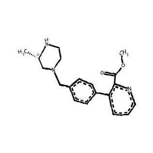 COC(=O)c1ncccc1-c1ccc(CN2CCN[C@@H](C)C2)cc1